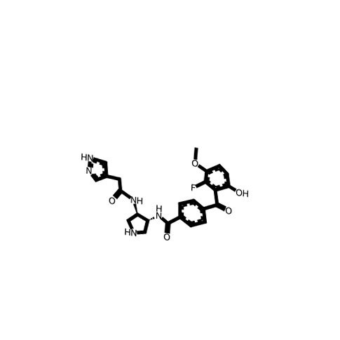 COc1ccc(O)c(C(=O)c2ccc(C(=O)N[C@@H]3CNC[C@H]3NC(=O)Cc3cn[nH]c3)cc2)c1F